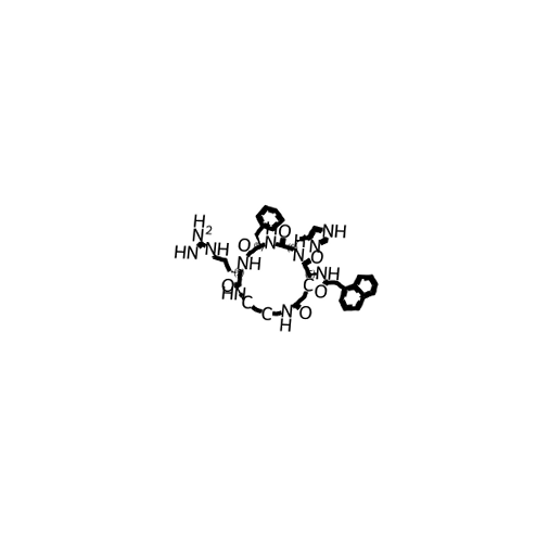 N=C(N)NCCC[C@@H]1NC(=O)[C@@H](Cc2ccccc2)NC(=O)[C@H](Cc2c[nH]cn2)NC(=O)[C@@H](NC(=O)Cc2cccc3ccccc23)CCC(=O)NCCCCNC1=O